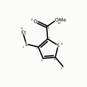 CCSc1cc(C)sc1C(=O)OC